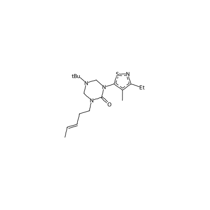 C/C=C/CCN1CN(C(C)(C)C)CN(c2snc(CC)c2C)C1=O